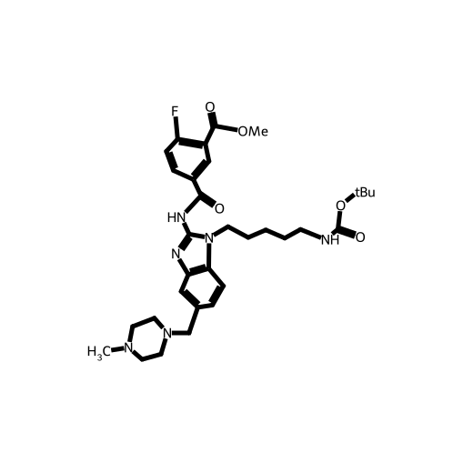 COC(=O)c1cc(C(=O)Nc2nc3cc(CN4CCN(C)CC4)ccc3n2CCCCCNC(=O)OC(C)(C)C)ccc1F